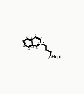 CCCCCCCCCC[n+]1ccc2ccccc2c1